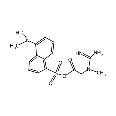 CN(CC(=O)OS(=O)(=O)c1cccc2c(N(C)C)cccc12)C(=N)N